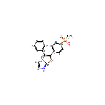 CS(=O)(=O)c1ccc(-c2sc3nccn3c2-c2ccccc2)cc1